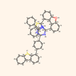 c1ccc(-c2nc(-c3ccc(-c4cccc5c4sc4ccccc45)cc3)nc(-c3cccc4oc5cccc(-c6nc7ccccc7s6)c5c34)n2)cc1